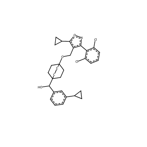 OC(c1cccc(C2CC2)c1)C12CCC(OCc3c(-c4c(Cl)cccc4Cl)noc3C3CC3)(CC1)CC2